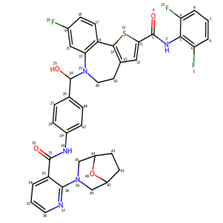 O=C(Nc1c(F)cccc1F)c1cc2c(s1)-c1ccc(F)cc1N(C(O)c1ccc(NC(=O)c3cccnc3N3CC4CCC(C3)O4)cc1)CC2